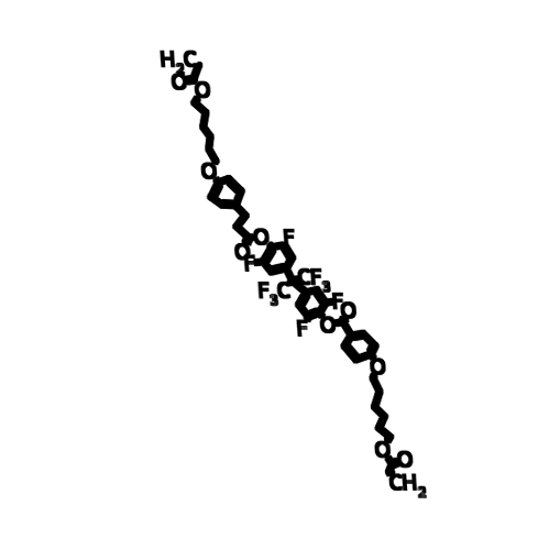 C=CC(=O)OCCCCCCOc1ccc(CCC(=O)Oc2c(F)cc(C(c3cc(F)c(OC(=O)c4ccc(OCCCCCCOC(=O)C=C)cc4)c(F)c3)(C(F)(F)F)C(F)(F)F)cc2F)cc1